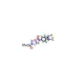 COC(=O)NC[C@H]1CN(c2cc(F)c(N3C4CCC3CSC4)c(F)c2)C(=O)O1